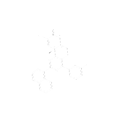 C[C@H]1C(=O)C(C#N)=C[C@@]2(C)c3nc(-c4ccnc5ccccc45)nc(-c4cccc(F)c4)c3CC[C@H]12